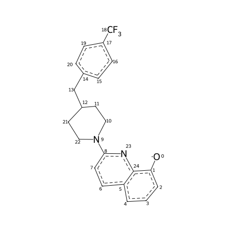 [O]c1cccc2ccc(N3CCC(Cc4ccc(C(F)(F)F)cc4)CC3)nc12